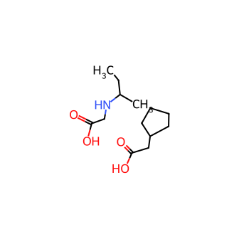 CCC(C)NCC(=O)O.O=C(O)CC1CCCC1